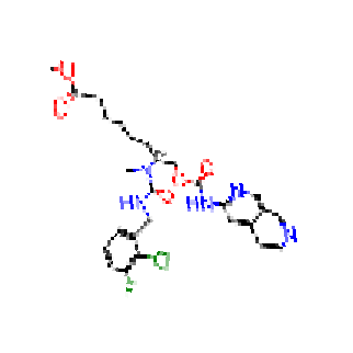 COC(=O)CCCCC[C@@H](COC(=O)Nc1cc2ccncc2cn1)N(C)C(=O)NCc1cccc(F)c1Cl